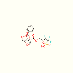 O=C(OC1C2OC(=O)C3C2OC1C3C(=O)OCCC(F)C(F)(F)S(=O)(=O)O)c1ccccc1